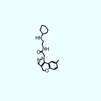 Cc1ccc2c(c1)-c1c(cnn1CC(=O)NCCNC1CCCCC1)CO2